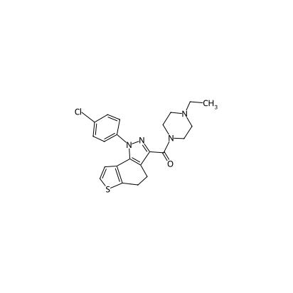 CCN1CCN(C(=O)c2nn(-c3ccc(Cl)cc3)c3c2CCc2sccc2-3)CC1